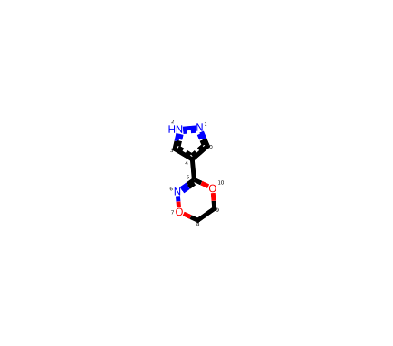 c1n[nH]cc1C1=NOCCO1